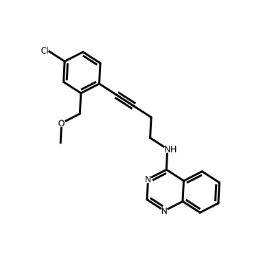 COCc1cc(Cl)ccc1C#CCCNc1ncnc2ccccc12